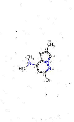 CCc1cc(N(C)C)c2cc(C)cn2n1